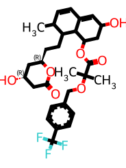 CC1C=CC2=CC(O)CC(OC(=O)C(C)(C)OCc3ccc(C(F)(F)F)cc3)C2C1CC[C@@H]1C[C@@H](O)CC(=O)O1